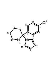 Clc1ccc(C2(n3cncn3)CCCC[N]2)cc1